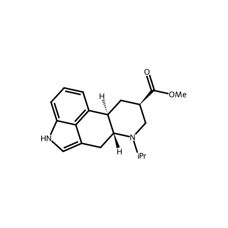 COC(=O)[C@@H]1C[C@@H]2c3cccc4[nH]cc(c34)C[C@H]2N(C(C)C)C1